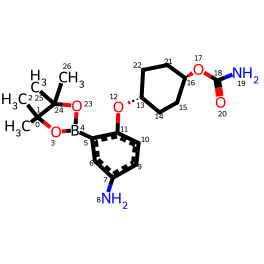 CC1(C)OB(c2cc(N)ccc2O[C@H]2CC[C@H](OC(N)=O)CC2)OC1(C)C